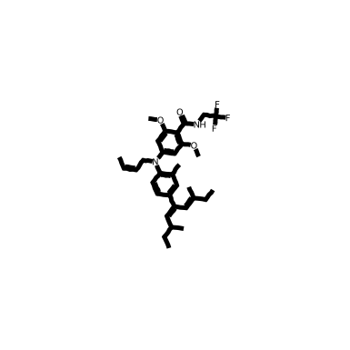 C/C=C\CN(c1cc(OC)c(C(=O)NCC(F)(F)F)c(OC)c1)c1ccc(C(/C=C(\C)CC)=C/C(C)CC)cc1C